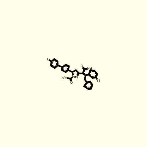 CCCC(=O)N1N=C(c2c(Cc3ccccc3)c3cc(Cl)ccc3[nH]c2=O)CC1c1ccc(-c2ccc(F)cc2)cc1